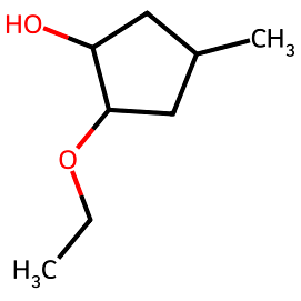 CCOC1CC(C)CC1O